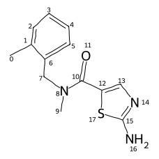 Cc1ccccc1CN(C)C(=O)c1cnc(N)s1